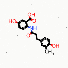 Cc1cc(CCC(=O)Nc2ccc(O)cc2C(=O)O)ccc1O